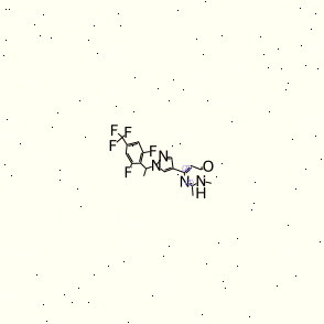 CN/C(C)=N\C(=C/C=O)c1cnn(C(C)c2c(F)cc(C(F)(F)F)cc2F)c1